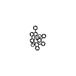 c1ccc(-c2ccc(N(c3cccc4c3oc3ccccc34)c3c(-c4ccccc4)ccc4oc5c6ccccc6c(-c6ccccc6)cc5c34)cc2)cc1